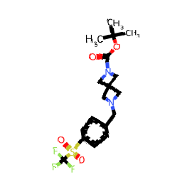 CC(C)(C)OC(=O)N1CC2(CN(Cc3ccc(S(=O)(=O)C(F)(F)F)cc3)C2)C1